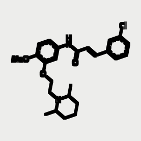 COc1ccc(NC(=O)C=Cc2cccc(Cl)c2)cc1OCCN1C(C)CCCC1C